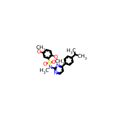 COc1ccc(OC)c(S(=O)(=O)N(C)c2nccc(-c3ccc(C(C)C)cc3)n2)c1